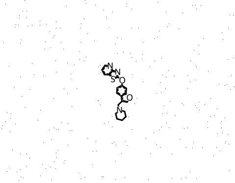 c1cnc2nc(Oc3ccc4c(CN5CCCCC5)coc4c3)sc2c1